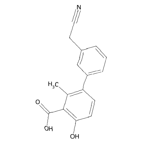 Cc1c(-c2cccc(CC#N)c2)ccc(O)c1C(=O)O